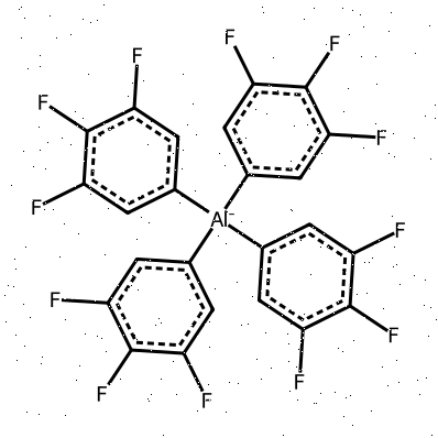 Fc1c[c]([Al-]([c]2cc(F)c(F)c(F)c2)([c]2cc(F)c(F)c(F)c2)[c]2cc(F)c(F)c(F)c2)cc(F)c1F